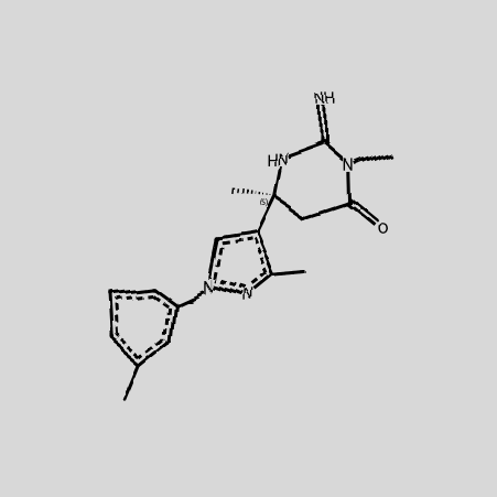 Cc1cccc(-n2cc([C@]3(C)CC(=O)N(C)C(=N)N3)c(C)n2)c1